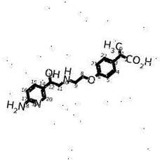 CC(C(=O)O)c1ccc(OCCNCC(O)c2ccc(N)nc2)cc1